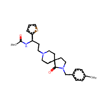 COC(=O)NC(CCN1CCC2(CC1)CCN(Cc1ccc(OC)cc1)C2=O)c1cccs1